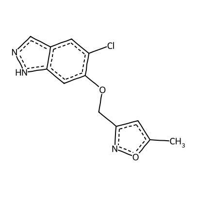 Cc1cc(COc2cc3[nH]ncc3cc2Cl)no1